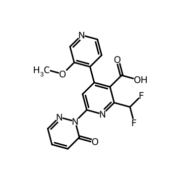 COc1cnccc1-c1cc(-n2ncccc2=O)nc(C(F)F)c1C(=O)O